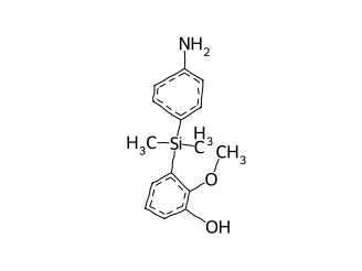 COc1c(O)cccc1[Si](C)(C)c1ccc(N)cc1